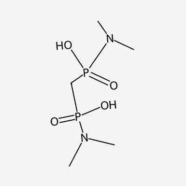 CN(C)P(=O)(O)CP(=O)(O)N(C)C